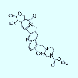 CCC1C(=O)OCc2c1cc1n(c2=O)Cc2cc3c(CN4CCN(C(=O)OC(C)(C)C)CC4)c(O)ccc3nc2-1